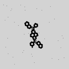 Cc1cccc(N(c2ccc3ccccc3c2)c2cc3ccc4cc(N(c5ccccc5)c5ccc6ccccc6c5)cc5ccc(c2)c3c45)c1